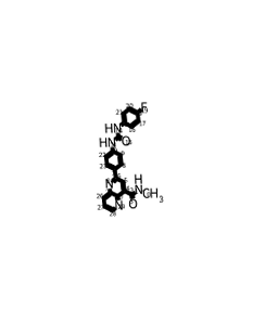 CNC(=O)c1cc(-c2ccc(NC(=O)Nc3ccc(F)cc3)cc2)nc2cccnc12